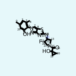 Cc1cc(C)c(-n2cc3sc(/N=C4/CN(C(=O)C5(O)CC5)C[C@@H]4F)nc3n2)c(O)c1